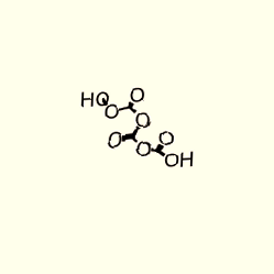 O=C(O)OC(=O)OC(=O)OO